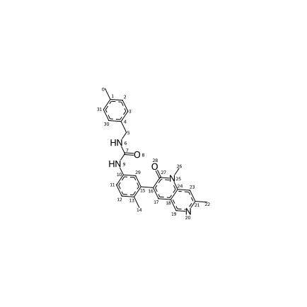 Cc1ccc(CNC(=O)Nc2ccc(C)c(-c3cc4cnc(C)cc4n(C)c3=O)c2)cc1